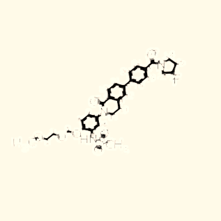 COCCOCOc1ccc(N2CCc3cc(-c4ccc(C(=O)N5CC[C@@H](F)C5)cc4)ccc3C2=O)cc1NS(C)(=O)=O